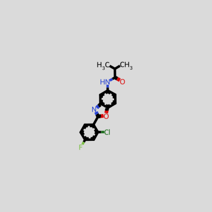 CC(C)C(=O)Nc1ccc2oc(-c3ccc(F)cc3Cl)nc2c1